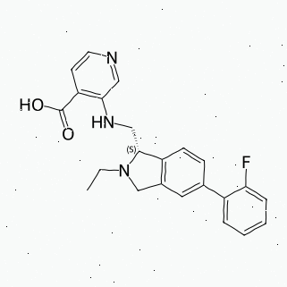 CCN1Cc2cc(-c3ccccc3F)ccc2[C@H]1CNc1cnccc1C(=O)O